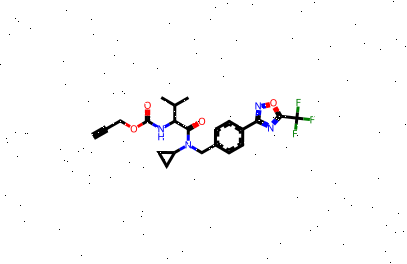 C#CCOC(=O)NC(C(=O)N(Cc1ccc(-c2noc(C(F)(F)F)n2)cc1)C1CC1)C(C)C